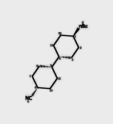 CCCC[C@H]1CC[C@H]([C@H]2CC[C@@H](C#N)CC2)CC1